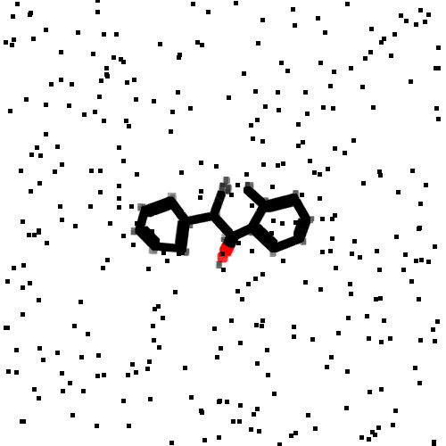 CCC(C(=O)c1ccccc1C)c1ccccc1